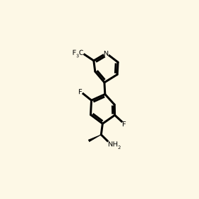 C[C@H](N)c1cc(F)c(-c2ccnc(C(F)(F)F)c2)cc1F